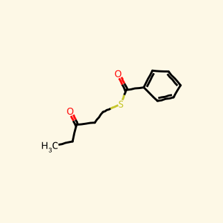 CCC(=O)CCSC(=O)c1ccccc1